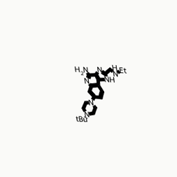 CCNCc1nc2c(N)nc3cc(N4CCN(C(C)(C)C)CC4)ccc3c2[nH]1